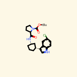 CC(C)(C)OC(=O)N1CCCC1C(=O)N[C@H]1CCC[C@@H](c2c[nH]c3ccc(Cl)cc23)C1